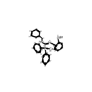 COc1ccccc1/N=C(/NCC1=CCCC=C1)[PH](C)(c1ccccc1)c1ccccc1